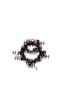 CCCC[C@H]1C(=O)N(C)[C@@H](CCCC)C(=O)N[C@@H](CC(C)C)C(=O)N[C@H](C(=O)NCC(N)=O)CSCC(=O)N[C@@H](Cc2ccc(O)cc2)C(=O)N(C)[C@@H](C)C(=O)N[C@@H](CC(N)=O)C(=O)N2CCC[C@H]2C(=O)N[C@H]2CNCC(O)COCC(O)CNCC[C@H](NC(=O)[C@H](Cc3c[nH]c4ccccc34)NC(=O)[C@@H]3C[C@@H](O)CN3C(=O)[C@H](CC(C)C)NC2=O)C(=O)N[C@@H](Cc2cn(CC(=O)O)c3ccccc23)C(=O)N1C